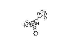 CC(C)(C)OC(=O)NC[C@@H](CCCCC1C(=O)OC(C)(C)OC1=O)NC(=O)OCc1ccccc1